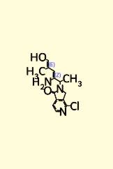 CC(/C=C(\N)C(C)N1Cc2c(ccnc2Cl)C1=O)=C\O